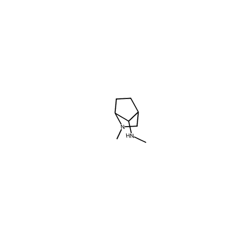 CNC1C2CCC1N(C)C2